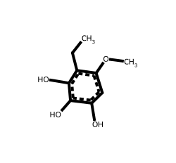 CCc1c(OC)cc(O)c(O)c1O